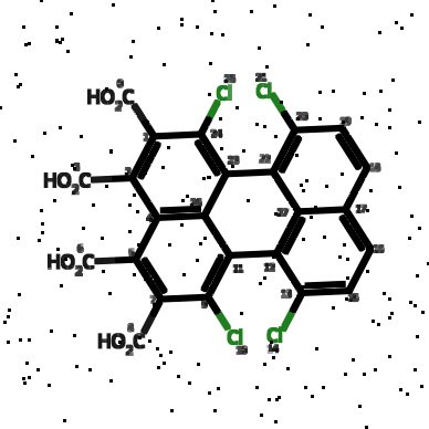 O=C(O)c1c(C(=O)O)c2c(C(=O)O)c(C(=O)O)c(Cl)c3c4c(Cl)ccc5ccc(Cl)c(c(c1Cl)c23)c54